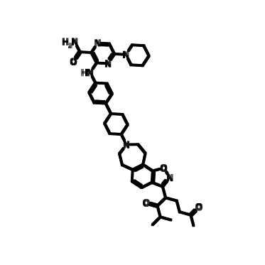 CC(=O)CCC(C(=O)C(C)C)c1noc2c3c(ccc12)CCN(C1CCC(c2ccc(Nc4nc(N5CCCCC5)cnc4C(N)=O)cc2)CC1)CC3